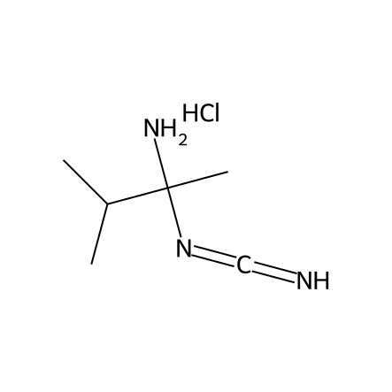 CC(C)C(C)(N)N=C=N.Cl